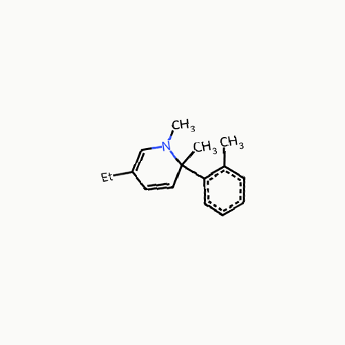 CCC1=CN(C)C(C)(c2ccccc2C)C=C1